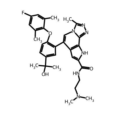 Cc1cc(F)cc(C)c1Oc1ccc(C(C)(C)O)cc1-c1cn2c(C)nnc2c2[nH]c(C(=O)NCCN(C)C)cc12